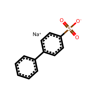 O=S(=O)([O-])c1ccc(-c2ccccc2)cc1.[Na+]